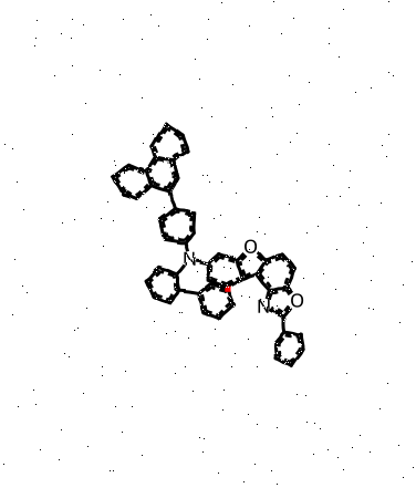 c1ccc(-c2nc3c(ccc4oc5cc(N(c6ccc(-c7cc8ccccc8c8ccccc78)cc6)c6ccccc6-c6ccccc6)ccc5c43)o2)cc1